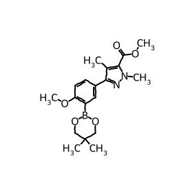 COC(=O)c1c(C)c(-c2ccc(OC)c(B3OCC(C)(C)CO3)c2)nn1C